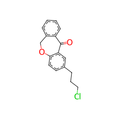 O=C1c2ccccc2COc2ccc(CCCCl)cc21